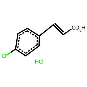 Cl.O=C(O)C=Cc1ccc(Cl)cc1